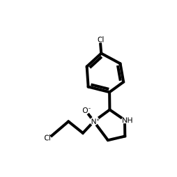 [O-][N+]1(CCCl)CCNC1c1ccc(Cl)cc1